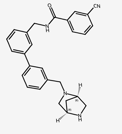 N#Cc1cccc(C(=O)NCc2cccc(-c3cccc(CN4C[C@H]5C[C@@H]4CN5)c3)c2)c1